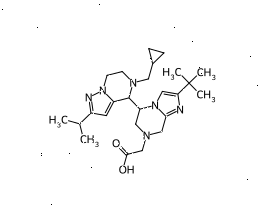 CC(C)c1cc2n(n1)CCN(CC1CC1)C2C1CN(CC(=O)O)Cc2nc(C(C)(C)C)cn21